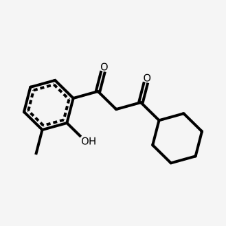 Cc1cccc(C(=O)CC(=O)C2CCCCC2)c1O